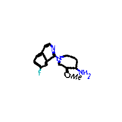 COC1CN(c2nccc3ccc(F)cc23)CCC1N